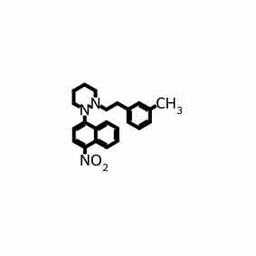 Cc1cccc(CCN2CCCCN2c2ccc([N+](=O)[O-])c3ccccc23)c1